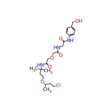 CC(CCCl)OCCC(C)(C)NC(=O)COCC(=O)NCC(=O)Nc1ccc(CO)cc1